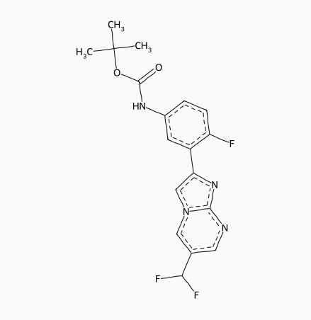 CC(C)(C)OC(=O)Nc1ccc(F)c(-c2cn3cc(C(F)F)cnc3n2)c1